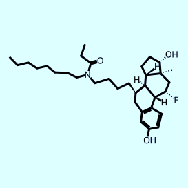 CCCCCCCCN(CCCC[C@@H]1Cc2cc(O)ccc2[C@@H]2[C@@H]1[C@@H]1CC[C@H](O)[C@@]1(C)C[C@@H]2F)C(=O)CC